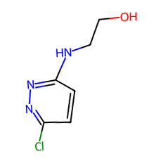 OCCNc1ccc(Cl)nn1